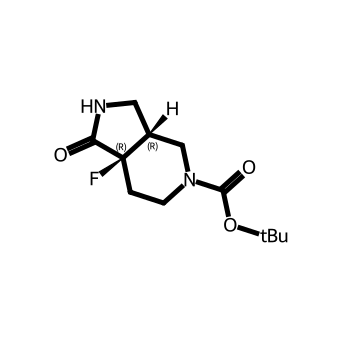 CC(C)(C)OC(=O)N1CC[C@]2(F)C(=O)NC[C@@H]2C1